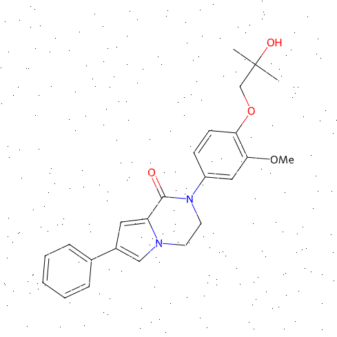 COc1cc(N2CCn3cc(-c4ccccc4)cc3C2=O)ccc1OCC(C)(C)O